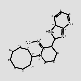 N#CN=C1C(C2N=C3N=CC=CC3N2)[CH]CCN1C1CCCCCCC1